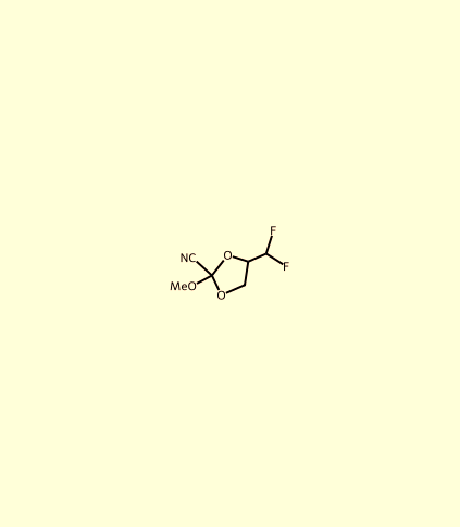 COC1(C#N)OCC(C(F)F)O1